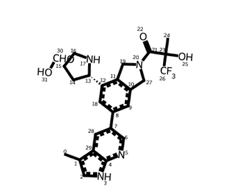 Cc1c[nH]c2ncc(-c3cc4c(c([C@@H]5CCCN5)c3)CN(C(=O)C(C)(O)C(F)(F)F)C4)cc12.O=CO